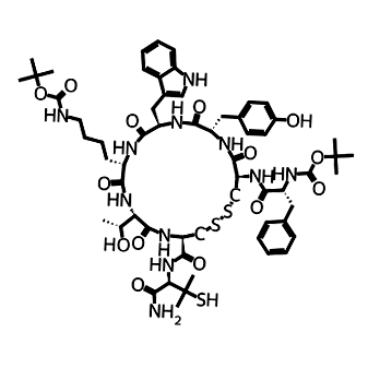 C[C@@H](O)[C@@H]1NC(=O)[C@H](CCCCNC(=O)OC(C)(C)C)NC(=O)[C@@H](Cc2c[nH]c3ccccc23)NC(=O)[C@H](Cc2ccc(O)cc2)NC(=O)[C@@H](NC(=O)[C@@H](Cc2ccccc2)NC(=O)OC(C)(C)C)CSSC[C@@H](C(=O)N[C@H](C(N)=O)C(C)(C)S)NC1=O